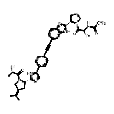 COC(=O)N[C@H](C(=O)N1CCC[C@H]1c1nc2ccc(C#Cc3ccc(-c4cnc([C@@H]5CC(=C(C)C)CN5C(=O)[C@@H](C)C(C)C)[nH]4)cc3)cc2[nH]1)C(C)C